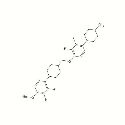 CCCCOc1ccc(C2CCC(COc3ccc(C4CCC(C)CC4)c(F)c3F)CC2)c(F)c1F